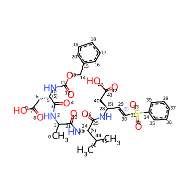 CC(NC(=O)[C@H](CC(=O)O)NC(=O)OCc1ccccc1)C(=O)N[C@H](C(=O)N[C@H](/C=C/S(=O)(=O)c1ccccc1)CC(=O)O)C(C)C